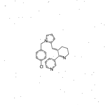 Clc1ccc(Cn2cccc2/C=C2\CCCN=C2c2cccnc2)cc1